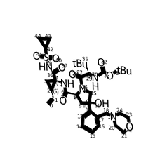 C=C[C@@H]1C[C@]1(NC(=O)[C@@H]1C[C@@](O)(c2ccccc2CN2CCOCC2)CN1C(=O)[C@@H](NC(=O)OC(C)(C)C)C(C)(C)C)C(=O)NS(=O)(=O)C1CC1